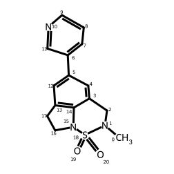 CN1Cc2cc(-c3cccnc3)cc3c2N(CC3)S1(=O)=O